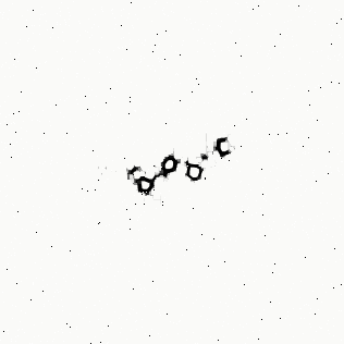 COc1cnc2c(-c3nc4cc(F)c(OC5CCCC[C@@H]5OC(=O)Nc5ccncc5)cc4s3)cc(C)cc2n1